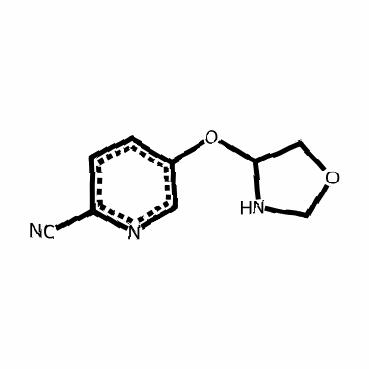 N#Cc1ccc(OC2COCN2)cn1